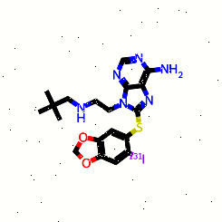 CC(C)(C)CNCCn1c(Sc2cc3c(cc2[131I])OCO3)nc2c(N)ncnc21